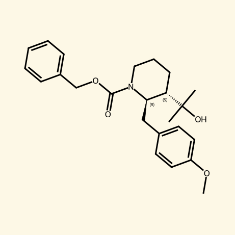 COc1ccc(C[C@@H]2[C@@H](C(C)(C)O)CCCN2C(=O)OCc2ccccc2)cc1